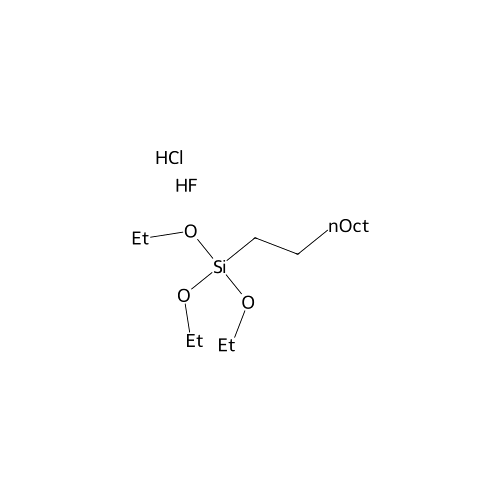 CCCCCCCCCC[Si](OCC)(OCC)OCC.Cl.F